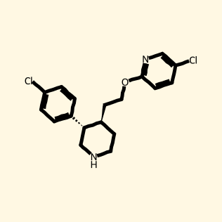 Clc1ccc([C@H]2CNCC[C@@H]2CCOc2ccc(Cl)cn2)cc1